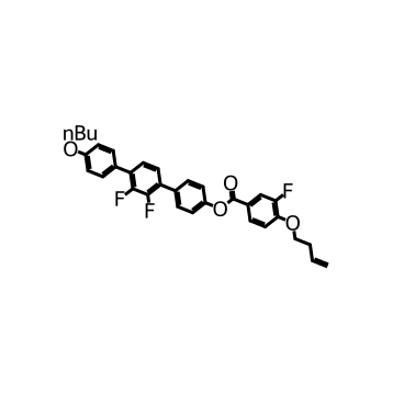 C=CCCOc1ccc(C(=O)Oc2ccc(-c3ccc(-c4ccc(OCCCC)cc4)c(F)c3F)cc2)cc1F